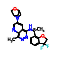 Cc1nnc(N[C@H](C)c2cccc3c2OCC3(F)F)c2cc(N3CC4CC3CO4)cnc12